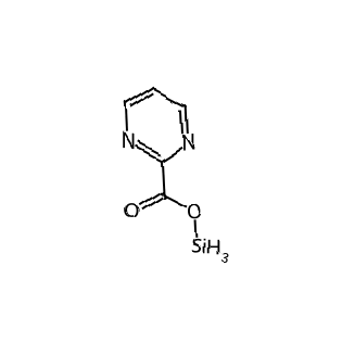 O=C(O[SiH3])c1ncccn1